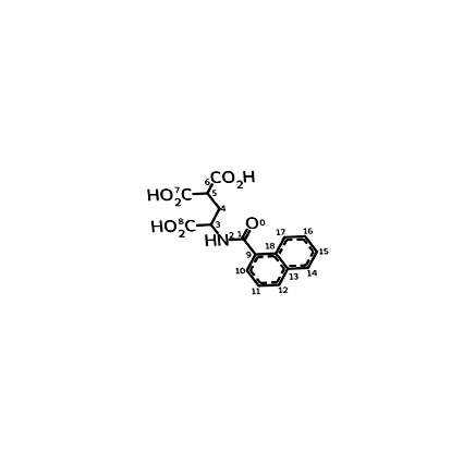 O=C(NC(CC(C(=O)O)C(=O)O)C(=O)O)c1cccc2ccccc12